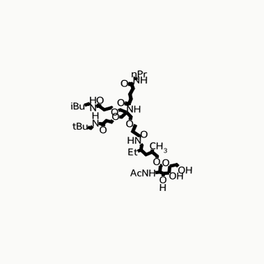 CCCNC(=O)CCCC(=O)NC(COCCC(=O)NCC(C)CC)(COCCC(=O)NCC(CC)CC(C)COC1OC(CO)C(O)C(O)C1NC(C)=O)COCCC(=O)NCC(C)(C)C